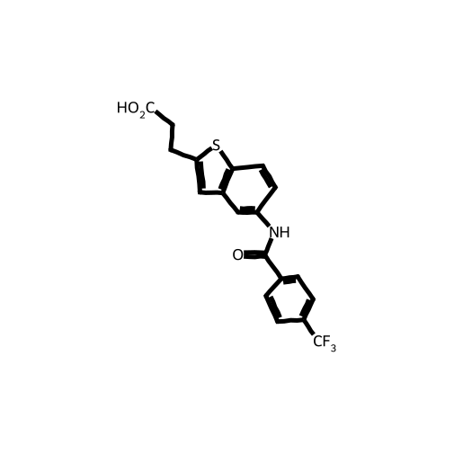 O=C(O)CCc1cc2cc(NC(=O)c3ccc(C(F)(F)F)cc3)ccc2s1